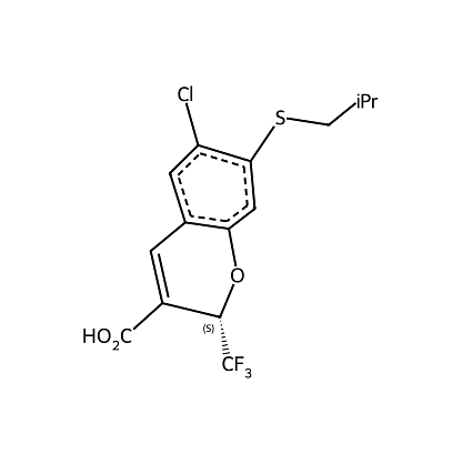 CC(C)CSc1cc2c(cc1Cl)C=C(C(=O)O)[C@@H](C(F)(F)F)O2